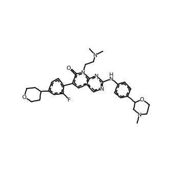 CN(C)CCn1c(=O)c(-c2ccc(C3CCOCC3)cc2F)cc2cnc(Nc3ccc(C4CN(C)CCO4)cc3)nc21